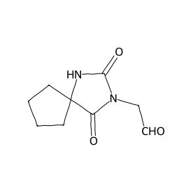 O=CCN1C(=O)NC2(CCCC2)C1=O